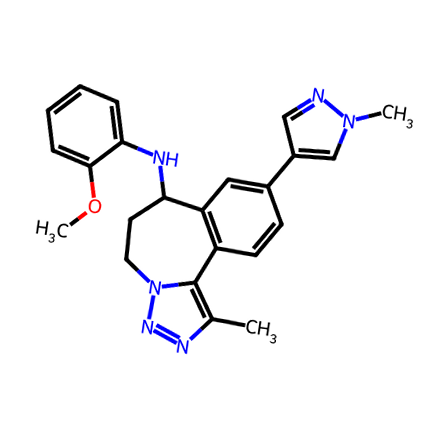 COc1ccccc1NC1CCn2nnc(C)c2-c2ccc(-c3cnn(C)c3)cc21